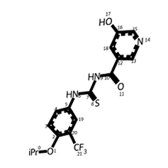 CC(C)Oc1ccc(NC(=S)NC(=O)c2cncc(O)c2)cc1C(F)(F)F